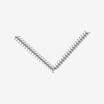 [Nb+5].[Nb+5].[Nb+5].[Nb+5].[Nb+5].[Nb+5].[Nb+5].[Nb+5].[Nb+5].[Nb+5].[Nb+5].[Nb+5].[Nb+5].[Nb+5].[Nb+5].[Nb+5].[Nb+5].[Nb+5].[Nb+5].[Nb+5].[Nb+5].[Nb+5].[Nb+5].[Nb+5].[Nb+5].[Nb+5].[Nb+5].[Nb+5].[Nb+5].[Nb+5].[Nb+5].[Nb+5].[Nb+5].[Nb+5].[Nb+5].[Nb+5].[O-2]